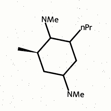 CCCC1CC(NC)C[C@@H](C)C1NC